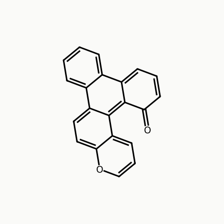 O=c1cccc2c3ccccc3c3ccc4occcc4c3c12